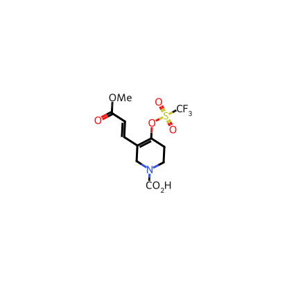 COC(=O)/C=C/C1=C(OS(=O)(=O)C(F)(F)F)CCN(C(=O)O)C1